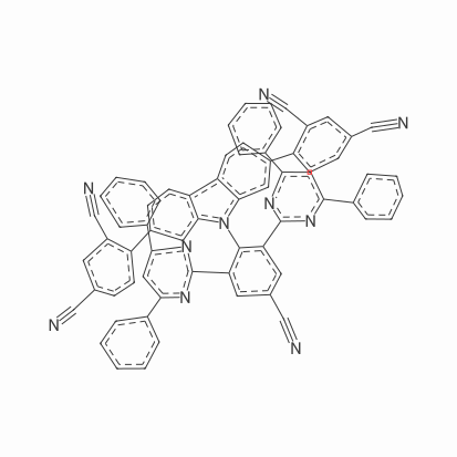 N#Cc1ccc(-c2ccc3c4ccc(-c5ccc(C#N)cc5C#N)cc4n(-c4c(-c5nc(-c6ccccc6)cc(-c6ccccc6)n5)cc(C#N)cc4-c4nc(-c5ccccc5)cc(-c5ccccc5)n4)c3c2)c(C#N)c1